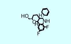 OC[C@H]1CC[C@@H]2[C@H](O1)c1cc(F)cc(F)c1N[C@H]2C1C=CC=CC1